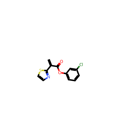 C=C(C(=O)Oc1cccc(Cl)c1)c1nccs1